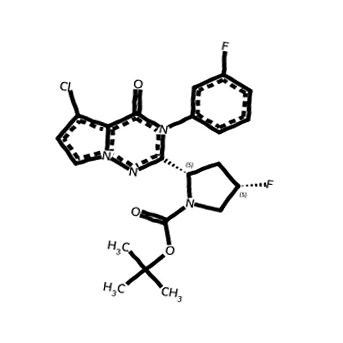 CC(C)(C)OC(=O)N1C[C@@H](F)C[C@H]1c1nn2ccc(Cl)c2c(=O)n1-c1cccc(F)c1